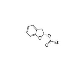 CCC(=O)O[C@H]1Cc2ccccc2O1